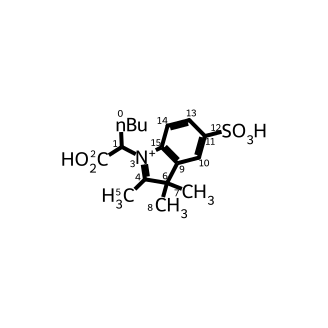 CCCCC(C(=O)O)[N+]1=C(C)C(C)(C)c2cc(S(=O)(=O)O)ccc21